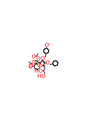 COc1ccc(CO[C@@H]2[C@@H](OCc3ccccc3)[C@@H](CC(O)CO)O[C@H]2C(C)(OC(C)=O)[C@]2(OC(C)=O)OCC=CC2=O)cc1